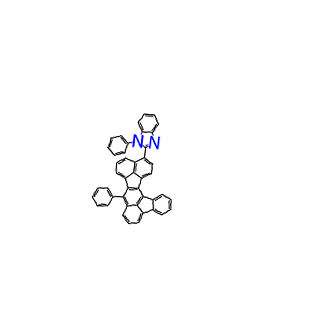 c1ccc(-c2c3cccc4c5ccccc5c(c34)c3c4ccc(-c5nc6ccccc6n5-c5ccccc5)c5cccc(c23)c54)cc1